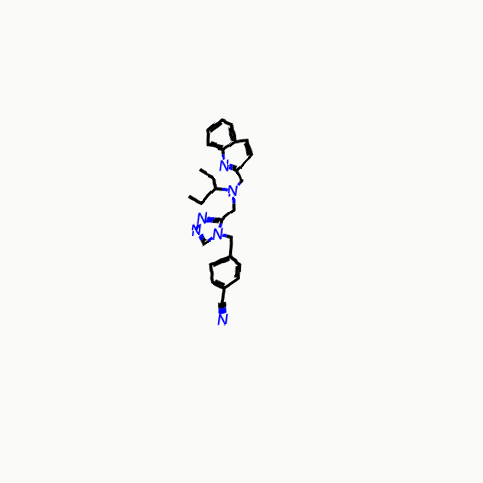 CCC(CC)N(Cc1ccc2ccccc2n1)Cc1nncn1Cc1ccc(C#N)cc1